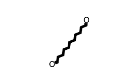 O=CCCCCCCCCCC=O